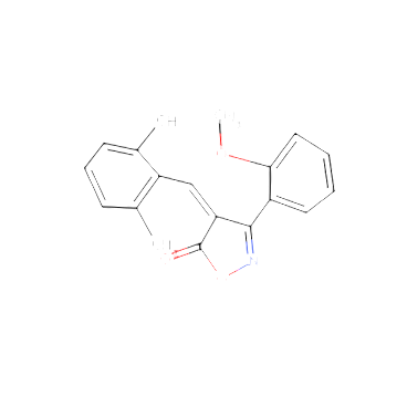 COc1ccccc1C1=NOC(=O)C1=Cc1c(C)cccc1C